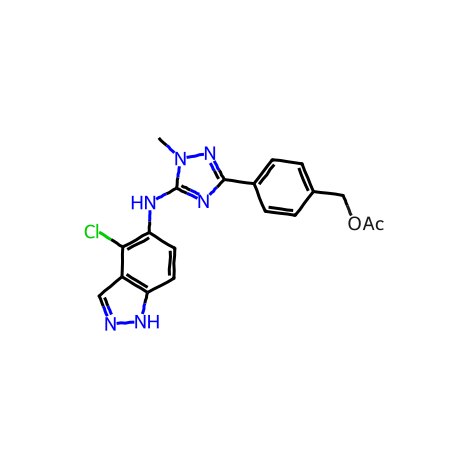 CC(=O)OCc1ccc(-c2nc(Nc3ccc4[nH]ncc4c3Cl)n(C)n2)cc1